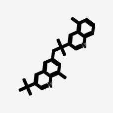 Cc1cccc2ncc(C(C)(C)Cc3cc(C)c4ncc(C(C)(C)C)cc4c3)cc12